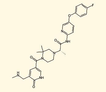 CNCc1cc(C(=O)N2CCN([C@@H](C)C(=O)Nc3ccc(Oc4ccc(F)cc4)cn3)CC2(C)C)c[nH]c1=O